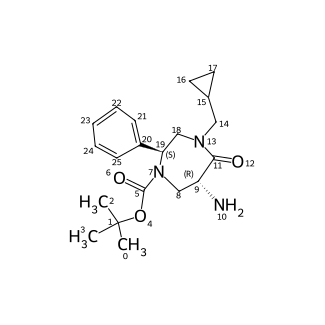 CC(C)(C)OC(=O)N1C[C@@H](N)C(=O)N(CC2CC2)C[C@@H]1c1ccccc1